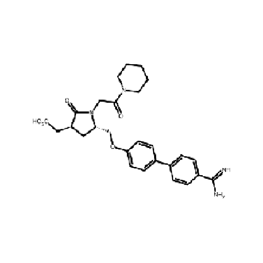 N=C(N)c1ccc(-c2ccc(OC[C@@H]3C[C@@H](CC(=O)O)C(=O)N3CC(=O)N3CCCCC3)cc2)cc1